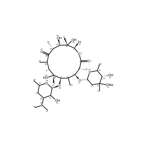 CC[C@H]1OC(=O)[C@H](C)[C@@H](O[C@H]2CC(C)(OC)[C@@H](O)C(C)O2)C(C)[C@@H](O[C@@H]2OC(C)CC(N(C)C)C2O)[C@](C)(O)CC(C)C(=O)[C@H](C)[C@@H](O)[C@]1(C)O